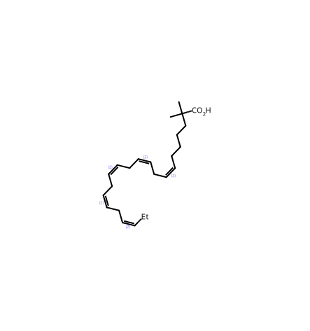 CC/C=C\C/C=C\C/C=C\C/C=C\C/C=C\CCCCC(C)(C)C(=O)O